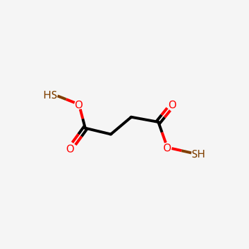 O=C(CCC(=O)OS)OS